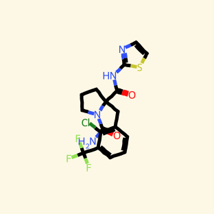 NC(=O)N1CCCC1(Cc1cccc(C(F)(F)F)c1Cl)C(=O)Nc1nccs1